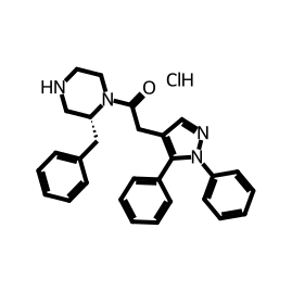 Cl.O=C(Cc1cnn(-c2ccccc2)c1-c1ccccc1)N1CCNC[C@H]1Cc1ccccc1